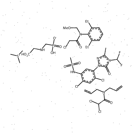 C=CCN(CC=C)C(=O)C(Cl)Cl.CCc1cccc(CC)c1N(COC)C(=O)CCl.C[S+](C)C.Cc1nn(-c2cc(NS(C)(=O)=O)c(Cl)cc2Cl)c(=O)n1C(F)F.O=C(O)CNCP(=O)([O-])O